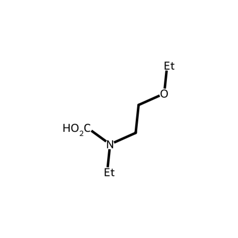 CCOCCN(CC)C(=O)O